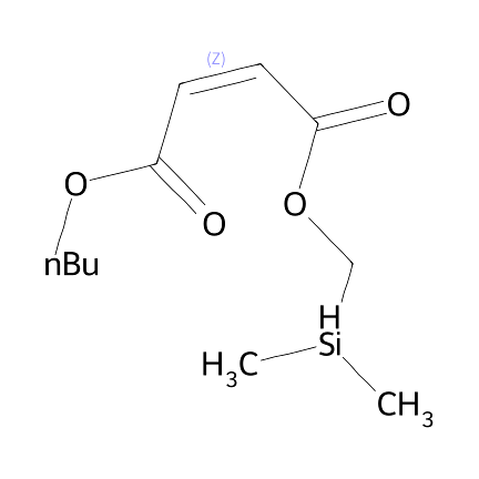 CCCCOC(=O)/C=C\C(=O)OC[SiH](C)C